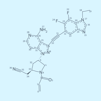 C=CC(=O)N1C[C@@H](n2nc(C#Cc3cc4ncn(CC)c4c(F)c3F)c3c(N)nccc32)C[C@@H]1CC#N